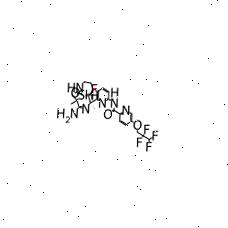 CC1(C)C(N)=N[C@](C)(c2nc(NC(=O)c3ccc(OCC(F)(F)C(F)F)cn3)ccc2F)[C@@H]2CCCN[SH]21=O